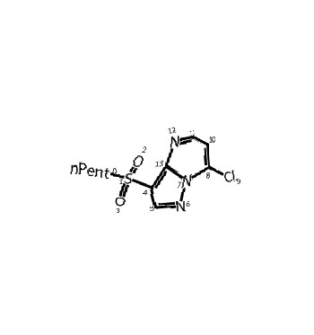 CCCCCS(=O)(=O)c1cnn2c(Cl)ccnc12